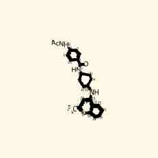 CC(=O)Nc1ccc(C(=O)NC2CCC(Nc3cc(C(F)(F)F)nc4ccccc34)CC2)cc1